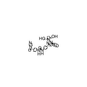 CN1CCN(C(=O)c2ccc(NC(=O)Nc3ccc(-c4nc(N5C6CCC5COC6)nc(N5[C@H](CO)CC[C@@H]5CO)n4)cc3)cc2)CC1